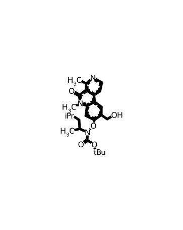 Cc1nccc2c1c(=O)n(C)c1cc(ON(C(=O)OC(C)(C)C)C(C)CC(C)C)c(CO)cc21